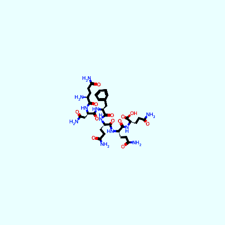 NC(=O)CC[C@H](NC(=O)[C@H](CCC(N)=O)NC(=O)[C@H](CCC(N)=O)NC(=O)[C@H](Cc1ccccc1)NC(=O)[C@H](CC(N)=O)NC(=O)[C@@H](N)CCC(N)=O)C(=O)O